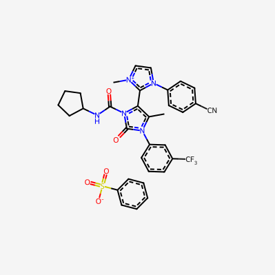 Cc1c(-c2n(-c3ccc(C#N)cc3)cc[n+]2C)n(C(=O)NC2CCCC2)c(=O)n1-c1cccc(C(F)(F)F)c1.O=S(=O)([O-])c1ccccc1